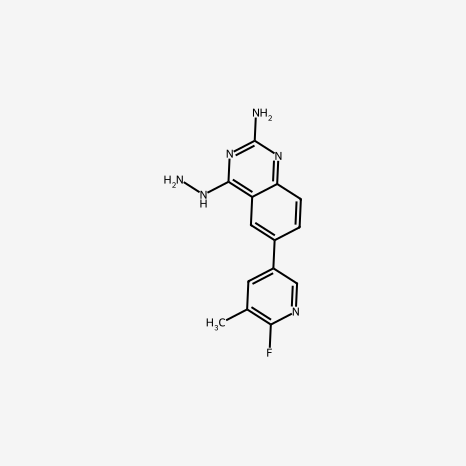 Cc1cc(-c2ccc3nc(N)nc(NN)c3c2)cnc1F